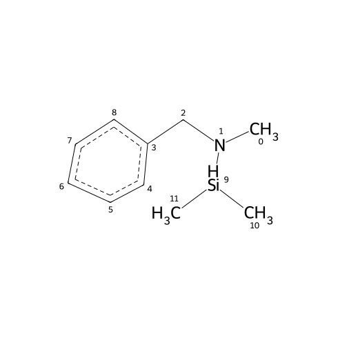 CN(Cc1ccccc1)[SiH](C)C